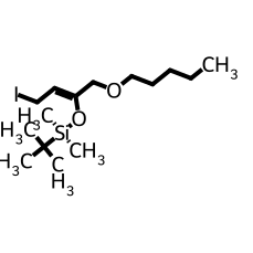 CCCCCOCC(=CCI)O[Si](C)(C)C(C)(C)C